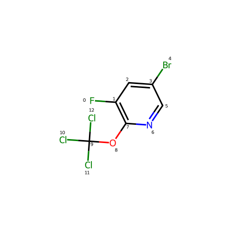 Fc1cc(Br)cnc1OC(Cl)(Cl)Cl